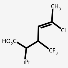 CC(Cl)=CC(C(C(=O)O)C(C)C)C(F)(F)F